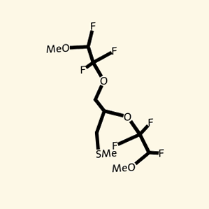 COC(F)C(F)(F)OCC(CSC)OC(F)(F)C(F)OC